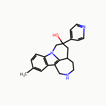 Cc1ccc2c(c1)c1c3n2CC(O)(c2ccncc2)CC3CCNC1